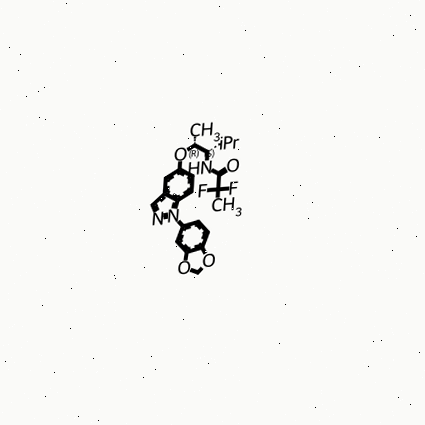 CC(C)[C@H](NC(=O)C(C)(F)F)[C@@H](C)Oc1ccc2c(cnn2-c2ccc3c(c2)OCO3)c1